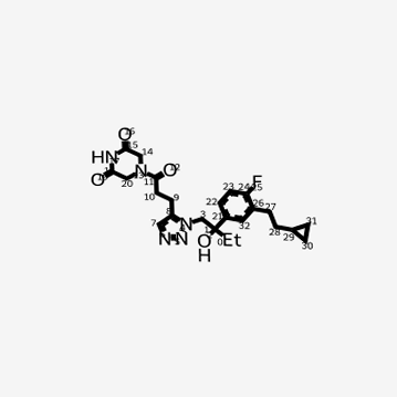 CCC(O)(Cn1nncc1CCC(=O)N1CC(=O)NC(=O)C1)c1ccc(F)c(CCC2CC2)c1